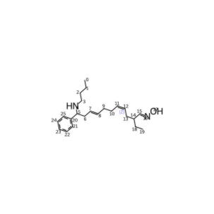 CCCCNC(CC=CCC/C=C\CC(C=NO)CC)c1ccccc1